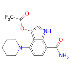 NC(=O)c1ccc(N2CCCCC2)c2c(OC(=O)C(F)(F)F)c[nH]c12